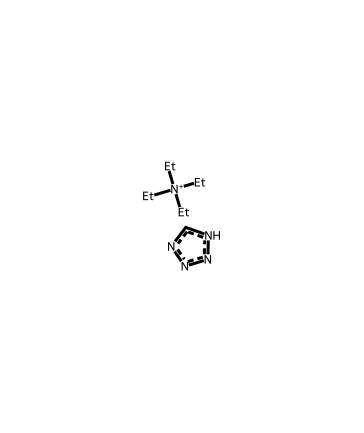 CC[N+](CC)(CC)CC.c1nnn[nH]1